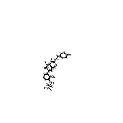 CCN(C)S(=O)(=O)Nc1cccc(-c2cc3cnc(NCCC4CCN(C(C)=O)CC4)nc3n(C)c2=O)c1C#N